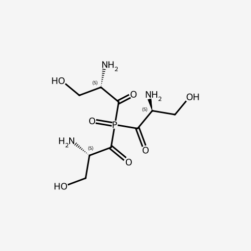 N[C@@H](CO)C(=O)P(=O)(C(=O)[C@@H](N)CO)C(=O)[C@@H](N)CO